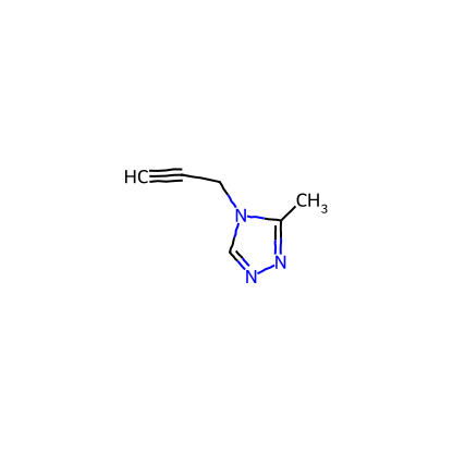 C#CCn1cnnc1C